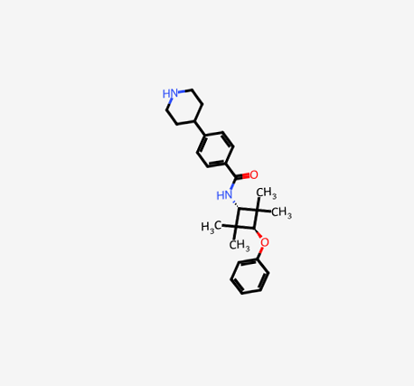 CC1(C)[C@H](NC(=O)c2ccc(C3CCNCC3)cc2)C(C)(C)[C@H]1Oc1ccccc1